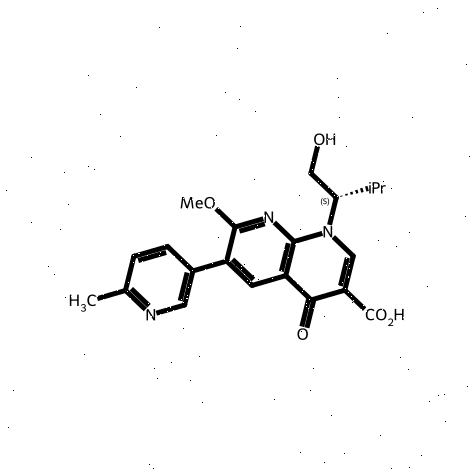 COc1nc2c(cc1-c1ccc(C)nc1)c(=O)c(C(=O)O)cn2[C@H](CO)C(C)C